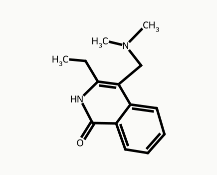 CCc1[nH]c(=O)c2ccccc2c1CN(C)C